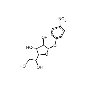 O=[N+]([O-])c1ccc(O[C@H]2O[C@@H]([C@@H](O)CO)[C@H](O)[C@H]2O)cc1